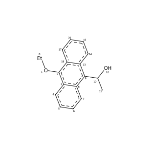 CCOc1c2ccccc2c(C(C)O)c2ccccc12